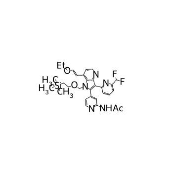 CCOC=Cc1ccnc2c(-c3cccc(C(F)F)n3)c(-c3ccnc(NC(C)=O)c3)n(COCC[Si](C)(C)C)c12